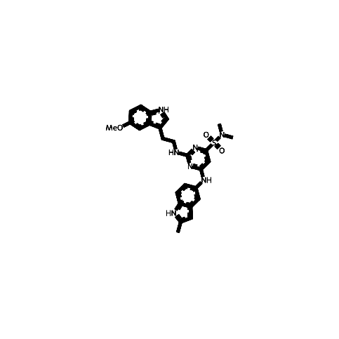 COc1ccc2[nH]cc(CCNc3nc(Nc4ccc5[nH]c(C)cc5c4)cc(S(=O)(=O)N(C)C)n3)c2c1